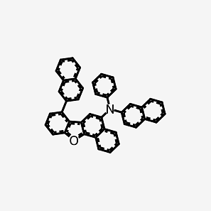 c1ccc(N(c2ccc3ccccc3c2)c2cc3c(oc4cccc(-c5ccc6ccccc6c5)c43)c3ccccc23)cc1